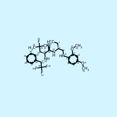 CC[C@@H](CNc1ccc(OC)cc1OC)NC(=O)[C@H](CC(C)(C)F)N[C@@H](c1ccccc1)C(F)(F)F